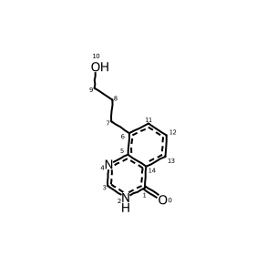 O=c1[nH]cnc2c(CCCO)cccc12